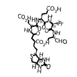 CC(C)[C@H](NC(=O)[C@H](CCC(=O)O)NC(=O)[C@H](CC(=O)O)NC(=O)CCCC[C@@H]1SC[C@@H]2NC(=O)N[C@@H]21)C(=O)N[C@H](C=O)CC(=O)O